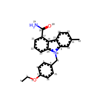 CCOc1ccc(Cn2c3cc(C)c[c]c3c3c(C(N)=O)cccc32)cc1